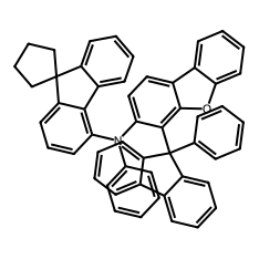 c1ccc(N(c2cccc3c2-c2ccccc2C32CCCC2)c2ccc3c(oc4ccccc43)c2C2(c3ccccc3)c3ccccc3-c3ccccc32)cc1